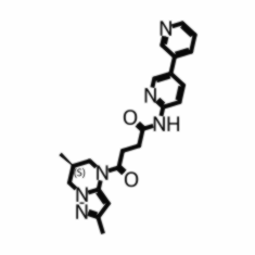 Cc1cc2n(n1)C[C@@H](C)CN2C(=O)CCC(=O)Nc1ccc(-c2cccnc2)cn1